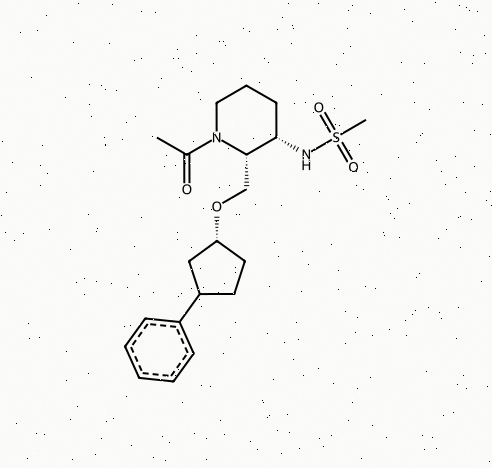 CC(=O)N1CCC[C@H](NS(C)(=O)=O)[C@@H]1CO[C@@H]1CCC(c2ccccc2)C1